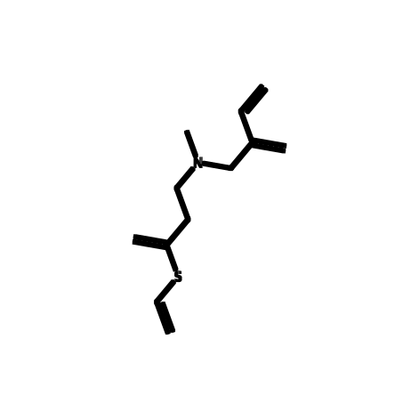 C=CSC(=C)CCN(C)CC(=C)C=C